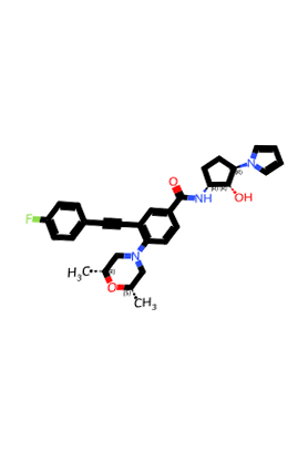 C[C@@H]1CN(c2ccc(C(=O)N[C@@H]3CC[C@@H](n4cccc4)[C@@H]3O)cc2C#Cc2ccc(F)cc2)C[C@H](C)O1